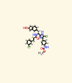 COC(=O)Nc1ccc(-c2nc([C@H](Cc3ccc4c(c3)CC(O)C4)NC(=O)C=Cc3cccc(Cl)c3)[nH]c2Cl)cc1